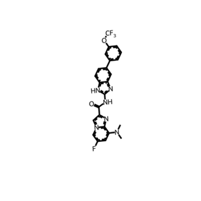 CN(C)c1cc(F)cn2cc(C(=O)Nc3nc4cc(-c5cccc(OC(F)(F)F)c5)ccc4[nH]3)nc12